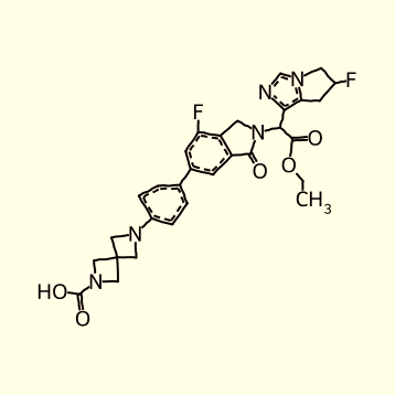 CCOC(=O)C(c1ncn2c1CC(F)C2)N1Cc2c(F)cc(-c3ccc(N4CC5(CN(C(=O)O)C5)C4)cc3)cc2C1=O